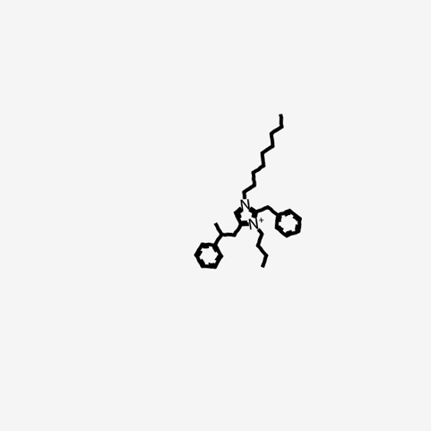 CCCCCCCCCn1cc(CC(C)c2ccccc2)[n+](CCCC)c1Cc1ccccc1